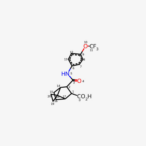 O=C(O)C1C(C(=O)Nc2ccc(OC(F)(F)F)cc2)C2CCC1C21CC1